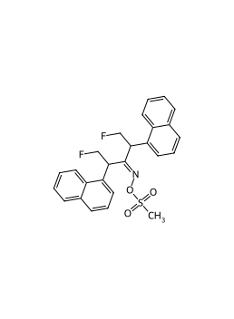 CS(=O)(=O)ON=C(C(CF)c1cccc2ccccc12)C(CF)c1cccc2ccccc12